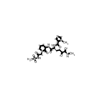 CNC(=O)C(=O)CC[C@H](NC(=O)c1cncn1C)C(=O)Nc1cccn(CC(=O)NS(C)(=O)=O)c1=O